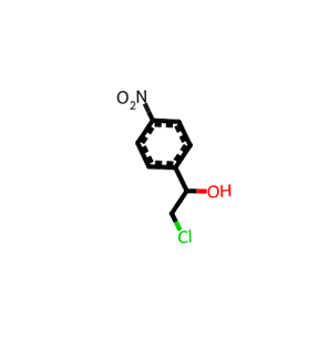 O=[N+]([O-])c1ccc(C(O)CCl)cc1